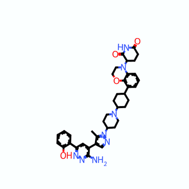 Cc1c(-c2cc(-c3ccccc3O)nnc2N)cnn1C1CCN(C2CCC(c3cccc4c3OCCN4C3CCC(=O)NC3=O)CC2)CC1